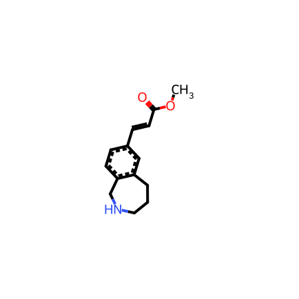 COC(=O)C=Cc1ccc2c(c1)CCCNC2